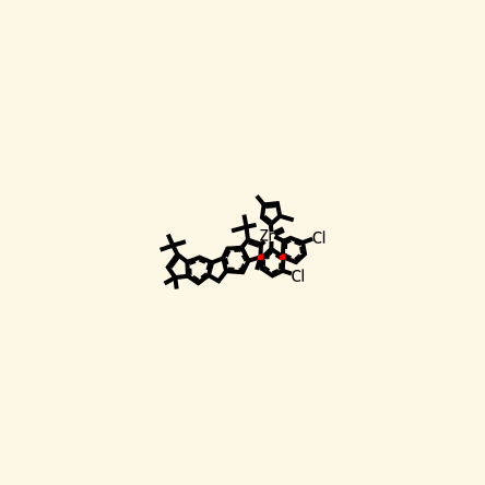 [CH2]=[Zr]([C]1=CC(C)=CC1C)([C]1=C(C(C)(C)C)c2cc3c(cc2C1(C)C)Cc1cc2c(cc1-3)C(C(C)(C)C)=CC2(C)C)([c]1cccc(Cl)c1)[c]1cccc(Cl)c1